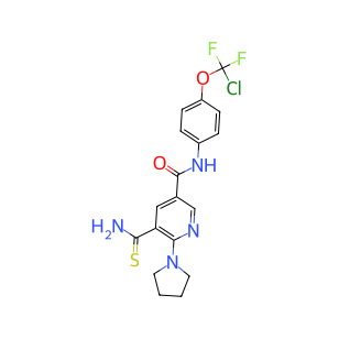 NC(=S)c1cc(C(=O)Nc2ccc(OC(F)(F)Cl)cc2)cnc1N1CCCC1